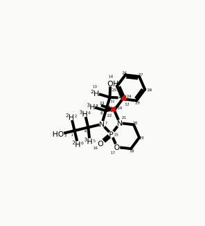 [2H]C([2H])(O)C([3H])([3H])N(C([3H])([3H])C([2H])([2H])O)P1(=O)OCCCN1C(C)c1ccccc1